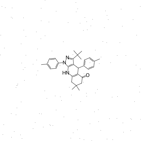 Cc1ccc(C2C3=C(CC(C)(C)CC3=O)Nc3c2c(C(C)(C)C)nn3-c2ccc(C)cc2)cc1